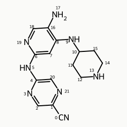 N#Cc1cnc(Nc2cc(NC3CCNCC3)c(N)cn2)cn1